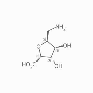 NC[C@@H]1O[C@H](C(=O)O)[C@@H](O)[C@@H]1O